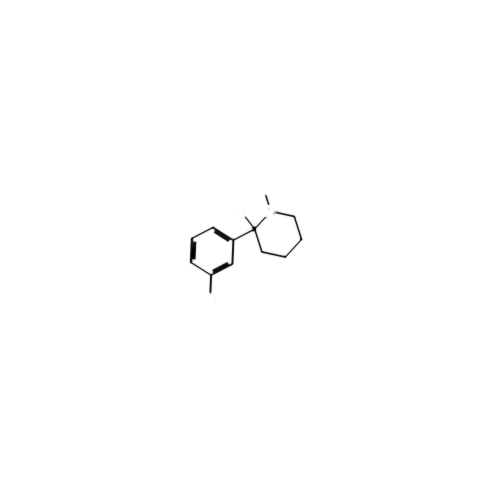 [O-][NH+]1CCCCC1(O)c1cccc(C(F)(F)F)c1